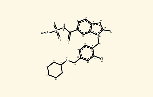 CCCCCS(=O)(=O)NC(=O)c1ccc2nc(C)n(Cc3ccc(COC4CCCCC4)cc3Cl)c2c1